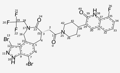 O=C(C[C@@H]1Cc2cc(Br)c3[nH]nc(Br)c3c2CN(CC(F)(F)F)C1=O)N1CCC(c2cc3cccc(F)c3[nH]c2=O)CC1